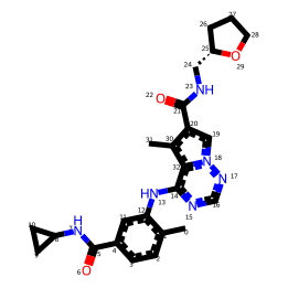 Cc1ccc(C(=O)NC2CC2)cc1Nc1ncnn2cc(C(=O)NC[C@@H]3CCCO3)c(C)c12